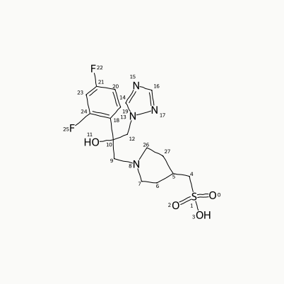 O=S(=O)(O)CC1CCN(CC(O)(Cn2cncn2)c2ccc(F)cc2F)CC1